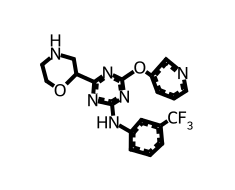 FC(F)(F)c1cccc(Nc2nc(Oc3cccnc3)nc(C3CNCCO3)n2)c1